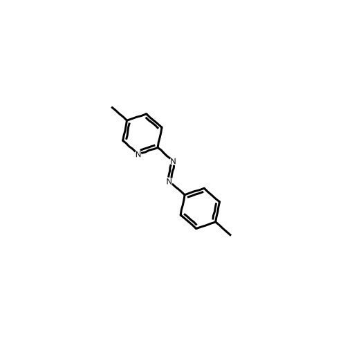 Cc1ccc(N=Nc2ccc(C)cn2)cc1